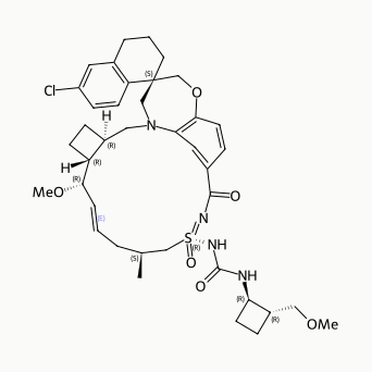 COC[C@@H]1CC[C@H]1NC(=O)N[S@@]1(=O)=NC(=O)c2ccc3c(c2)N(C[C@@H]2CC[C@H]2[C@@H](OC)/C=C/C[C@H](C)C1)C[C@@]1(CCCc2cc(Cl)ccc21)CO3